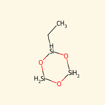 CC[SiH]1O[SiH2]O[SiH2]O1